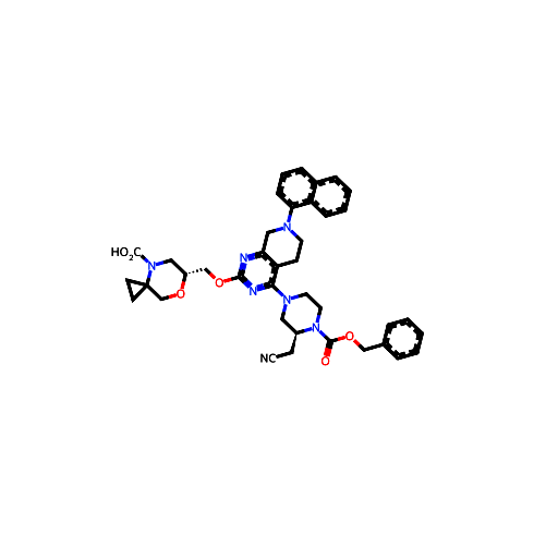 N#CC[C@H]1CN(c2nc(OC[C@H]3CN(C(=O)O)C4(CC4)CO3)nc3c2CCN(c2cccc4ccccc24)C3)CCN1C(=O)OCc1ccccc1